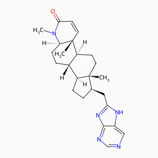 CN1C(=O)C=C[C@]2(C)[C@H]3CC[C@]4(C)[C@@H](Cc5nc6ncncc6[nH]5)CC[C@H]4[C@@H]3CC[C@@H]12